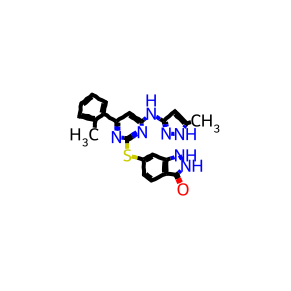 Cc1cc(Nc2cc(-c3ccccc3C)nc(Sc3ccc4c(=O)[nH][nH]c4c3)n2)n[nH]1